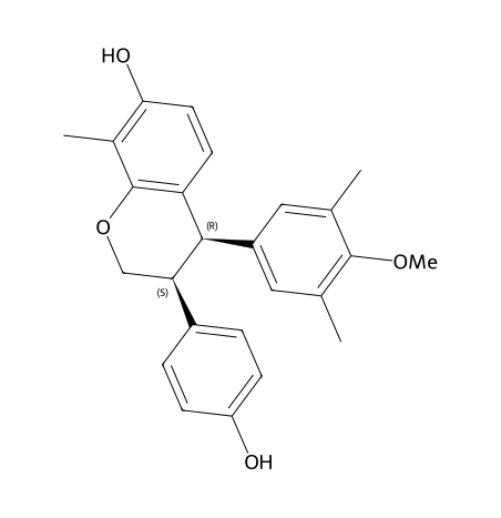 COc1c(C)cc([C@@H]2c3ccc(O)c(C)c3OC[C@@H]2c2ccc(O)cc2)cc1C